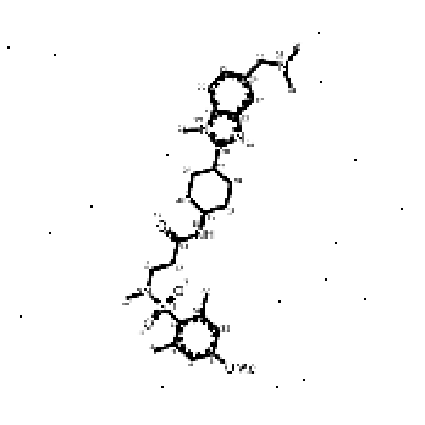 COc1cc(C)c(S(=O)(=O)N(C)CCC(=O)NC2CCC(c3nc4cc(CN(C)C)ccc4n3C)CC2)c(C)c1